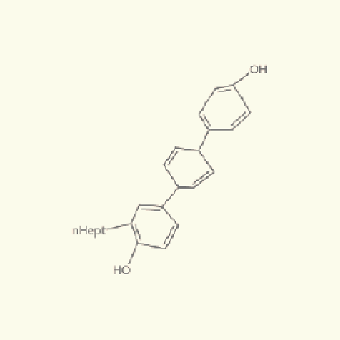 CCCCCCCc1cc(C2C=CC(c3ccc(O)cc3)C=C2)ccc1O